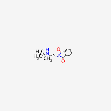 CC(C)(C)NCCCN1C(=O)c2ccccc2C1=O